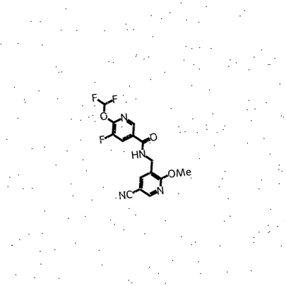 COc1ncc(C#N)cc1CNC(=O)c1cnc(OC(F)F)c(F)c1